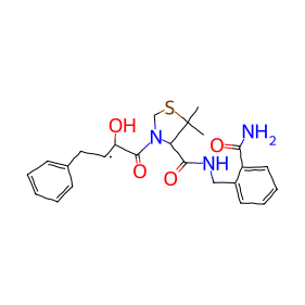 CC1(C)SCN(C(=O)C(O)[CH]Cc2ccccc2)C1C(=O)NCc1ccccc1C(N)=O